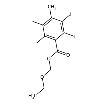 CCOCOC(=O)c1c(I)c(I)c(C)c(I)c1I